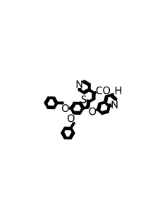 O=C(O)C(=Cc1sc2cc(OCc3ccccc3)c(OCc3ccccc3)cc2c1Oc1ccc2ncccc2c1)c1ccncc1